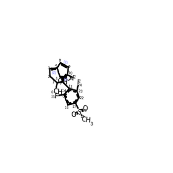 CC1C/C=C(C(=O)O)/C=C\C(F)=C/1c1c(F)cc(S(C)(=O)=O)cc1F